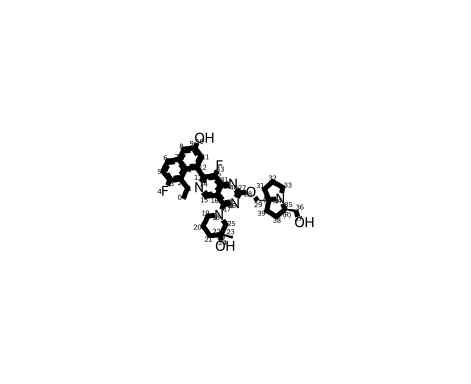 CCc1c(F)ccc2cc(O)cc(-c3ncc4c(N5CCC[C@@](C)(O)C5)nc(OC[C@]56CCCN5[C@@H](CO)CC6)nc4c3F)c12